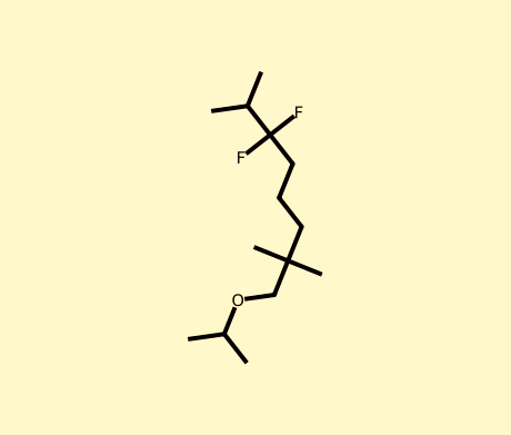 CC(C)OCC(C)(C)CCCC(F)(F)C(C)C